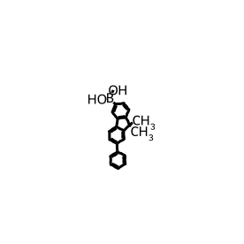 CC1(C)c2ccc(B(O)O)cc2-c2ccc(-c3ccccc3)cc21